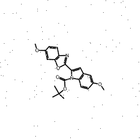 COc1ccc2c(c1)cc(-c1nc3ccc(OC)cc3o1)n2C(=O)OC(C)(C)C